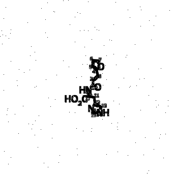 O=C(/C=C/c1ccco1)NC(Cc1c[nH]cn1)C(=O)O